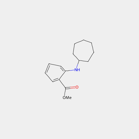 COC(=O)c1ccccc1NC1CCCCCC1